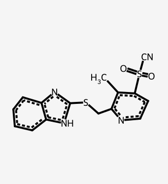 Cc1c(S(=O)(=O)C#N)ccnc1CSc1nc2ccccc2[nH]1